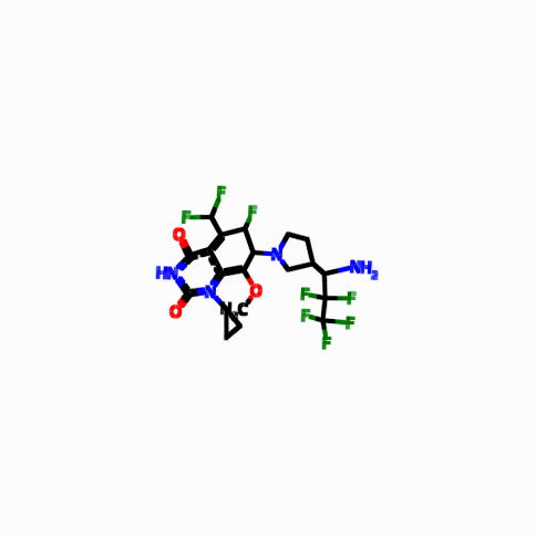 COC1=c2c(c(=O)[nH]c(=O)n2C2CC2)=C(C(F)F)C(F)C1N1CCC(C(N)C(F)(F)C(F)(F)F)C1